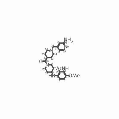 COc1ccc(NC2CCN(C(=O)C3CCN(Cc4ccnc(N)c4)CC3)CC2)c(NC(C)=O)c1